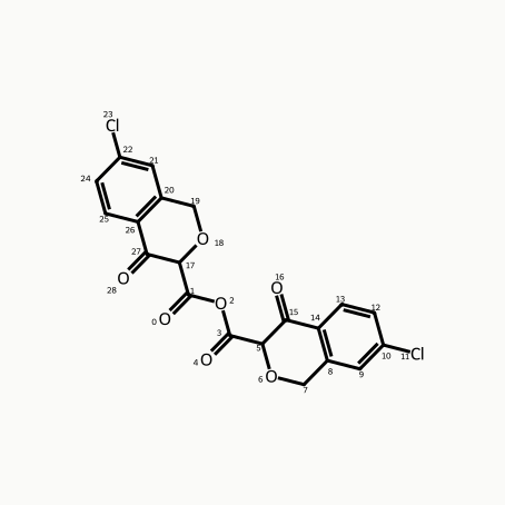 O=C(OC(=O)C1OCc2cc(Cl)ccc2C1=O)C1OCc2cc(Cl)ccc2C1=O